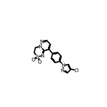 O=S1(=O)CCN2N=CC=C(c3ccc(-n4cc(Cl)cn4)cc3)C2=N1